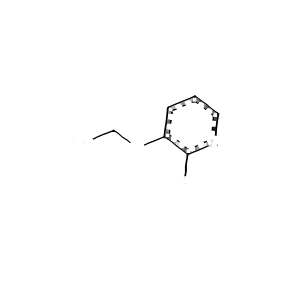 CCOc1cccnc1Br